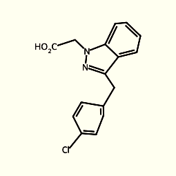 O=C(O)Cn1nc(Cc2ccc(Cl)cc2)c2ccccc21